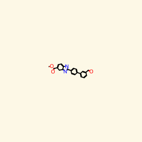 COC(=O)C1=CC=C2N=C(c3ccc(-c4cccc(C=O)c4)cc3)N=C2C1